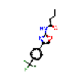 CCCC(=O)Nc1nc(-c2ccc(C(F)(F)F)cc2)co1